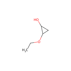 CCOC1CC1O